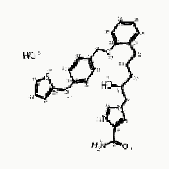 Cl.NC(=O)c1cn(C[C@@H](O)CCCc2ccccc2OCc2ccc(Sc3cccs3)cc2)cn1